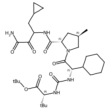 C[C@@H]1C[C@@H](C(=O)NC(CC2CC2)C(=O)C(N)=O)N(C(=O)[C@@H](NC(=O)N[C@@H](C(=O)OC(C)(C)C)C(C)(C)C)C2CCCCC2)C1